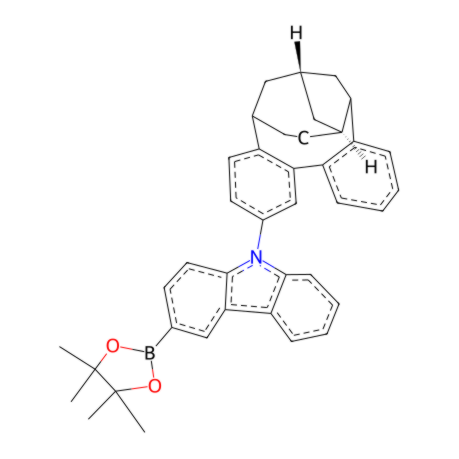 CC1(C)OB(c2ccc3c(c2)c2ccccc2n3-c2ccc3c(c2)-c2ccccc2C2C[C@H]4CC3CC[C@H]2C4)OC1(C)C